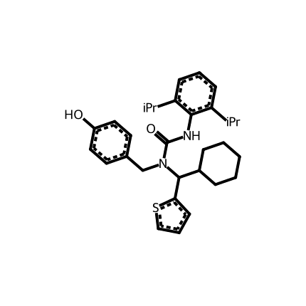 CC(C)c1cccc(C(C)C)c1NC(=O)N(Cc1ccc(O)cc1)C(c1cccs1)C1CCCCC1